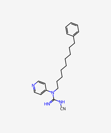 N#CNC(=N)N(CCCCCCCCCc1ccccc1)c1ccncc1